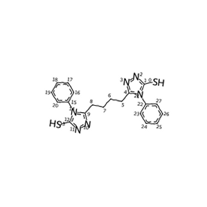 Sc1nnc(CCCCc2nnc(S)n2-c2ccccc2)n1-c1ccccc1